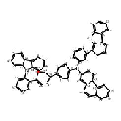 c1cc(-c2cccc3c2oc2ccccc23)cc(N(c2ccc(-c3ccc(-c4ccccc4-n4c5ccccc5c5ccccc54)cc3)cc2)c2ccc3c(ccc4ccccc43)c2)c1